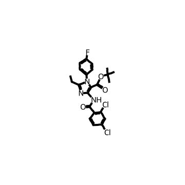 CCc1nc(NC(=O)c2ccc(Cl)cc2Cl)c(C(=O)OC(C)(C)C)n1-c1ccc(F)cc1